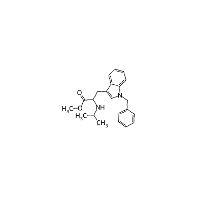 COC(=O)C(Cc1cn(Cc2ccccc2)c2ccccc12)NC(C)C